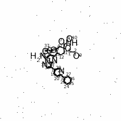 COCCOC1(C(=O)NOC)CCC(c2nc3c(-c4ccc(-c5ccccc5)nc4)cnn3c(N)c2S(C)(=O)=O)CC1